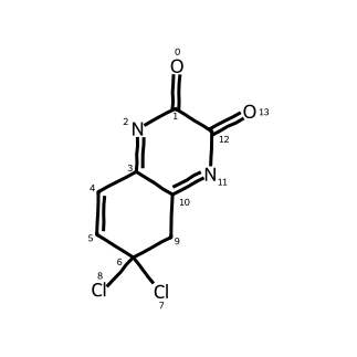 O=C1N=C2C=CC(Cl)(Cl)CC2=NC1=O